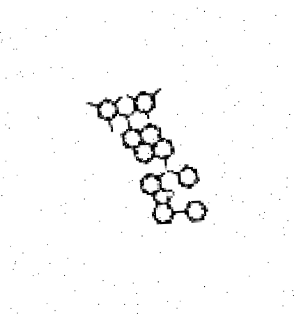 Cc1cc(C)c(B(c2c(C)cc(C)cc2C)c2ccc3ccc4c(N(c5ccccc5)c5cccc6c5oc5c(-c7ccccc7)cccc56)ccc5ccc2c3c54)c(C)c1